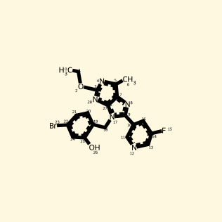 CCOc1nc(C)c2nc(-c3cncc(F)c3)n(Cc3ccc(Br)cc3O)c2n1